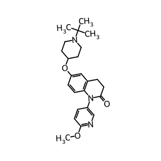 COc1ccc(N2C(=O)CCc3cc(OC4CCN(C(C)(C)C)CC4)ccc32)cn1